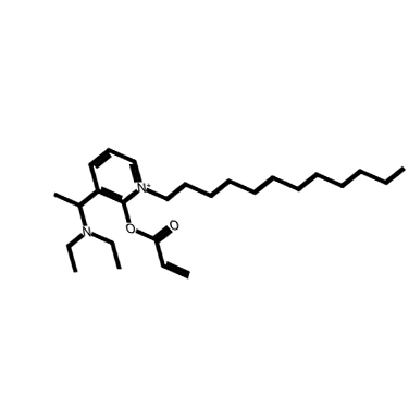 C=CC(=O)Oc1c(C(C)N(CC)CC)ccc[n+]1CCCCCCCCCCCC